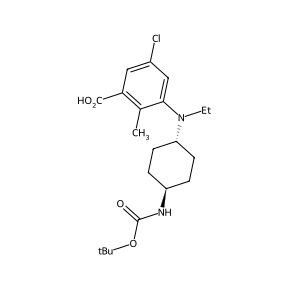 CCN(c1cc(Cl)cc(C(=O)O)c1C)[C@H]1CC[C@H](NC(=O)OC(C)(C)C)CC1